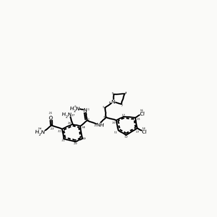 N/N=C(/NC(CN1CCC1)c1ccc(Cl)c(Cl)c1)c1cccc(C(N)=O)c1N